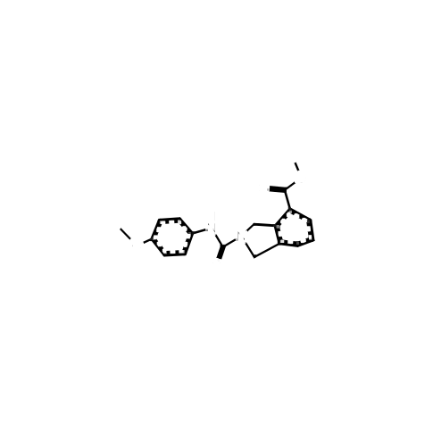 COC(=O)c1cccc2c1CN(C(=O)Nc1ccc(OC)cc1)C2